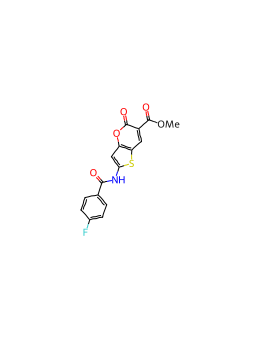 COC(=O)c1cc2sc(NC(=O)c3ccc(F)cc3)cc2oc1=O